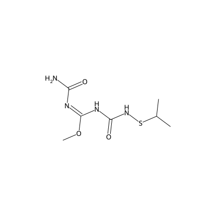 COC(=NC(N)=O)NC(=O)NSC(C)C